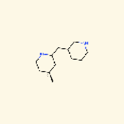 C[C@H]1CCNC(CC2CCCNC2)C1